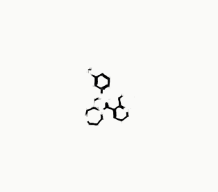 CCC1=NCCC=C1C(=O)N1CCCOC[C@H]1COc1cccc(N=O)c1